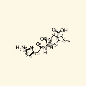 CSCC1(C(=O)O)CS[C@@H]2C(NC(=O)Cc3csc(N)n3)C(=O)N2C1